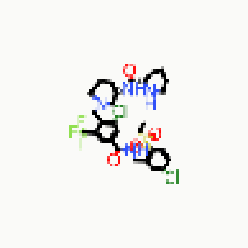 CCS(=O)(=O)c1ccc(Cl)cc1CNC(=O)c1cc(Cl)c(CN2CCC[C@H](NC(=O)[C@@H]3CCCCN3)C2)c(C(F)(F)F)c1